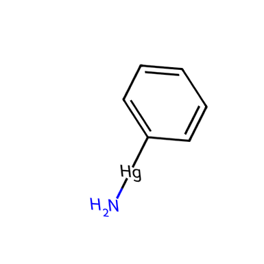 [NH2][Hg][c]1ccccc1